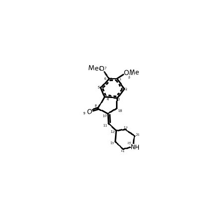 COc1cc2c(cc1OC)C(=O)C(=CC1CCNCC1)C2